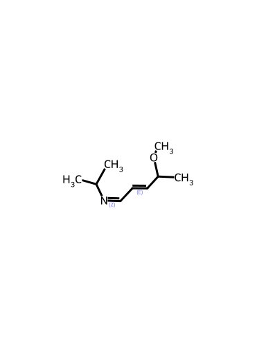 COC(C)/C=C/C=N\C(C)C